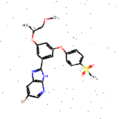 COC[C@H](C)Oc1cc(Oc2ccc(S(C)(=O)=O)cc2)cc(-c2nc3cc(Br)cnc3[nH]2)c1